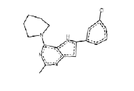 Cc1nc(N2CCCCC2)c2[nH]c(-c3cccc(Cl)c3)cc2n1